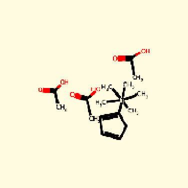 CC(=O)O.CC(=O)O.CC(=O)O.[CH3][Ti]([CH3])([CH3])([CH3])([CH3])[C]1=CC=CC1